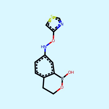 OB1OCCc2ccc(NOc3cscn3)cc21